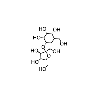 OCC1C[C@H](O[C@]2(CO)O[C@H](CO)C(O)[C@H]2O)C(O)[C@H](O)[C@@H]1O